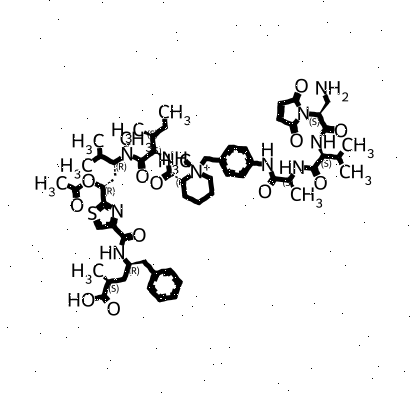 CC[C@H](C)[C@H](NC(=O)[C@H]1CCCC[N+]1(C)Cc1ccc(NC(=O)[C@H](C)NC(=O)[C@@H](NC(=O)[C@H](CN)N2C(=O)C=CC2=O)C(C)C)cc1)C(=O)N(C)[C@H](C[C@@H](OC(C)=O)c1nc(C(=O)N[C@@H](Cc2ccccc2)C[C@H](C)C(=O)O)cs1)C(C)C